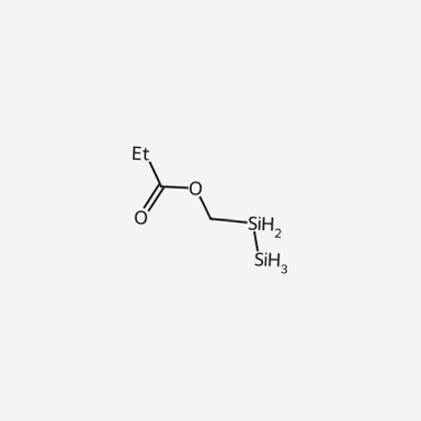 CCC(=O)OC[SiH2][SiH3]